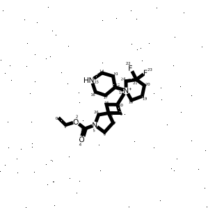 CCOC(=O)N1CCC2(CC([N+]3(C4CCNCC4)CCCC(F)(F)C3)C2)C1